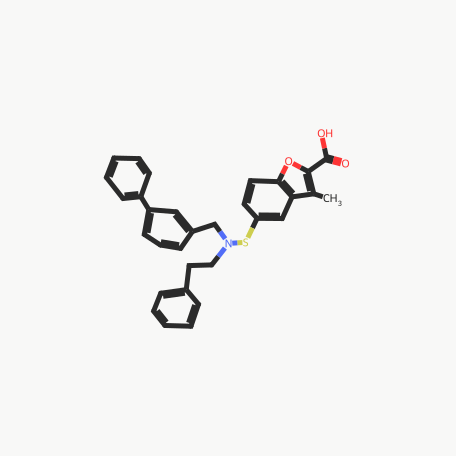 Cc1c(C(=O)O)oc2ccc(SN(CCc3ccccc3)Cc3cccc(-c4ccccc4)c3)cc12